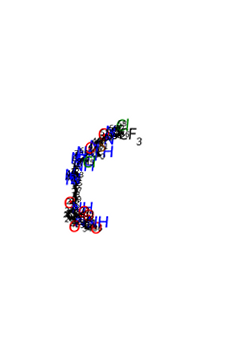 CC(NC(=O)c1ncnc(NCc2cn(CCCCCC(=O)Nc3cccc4c3C(=O)N(C3CCC(=O)NC3=O)C4=O)nn2)c1Cl)c1ncc(C(=O)Nc2cc(C(F)(F)F)c(Cl)cn2)s1